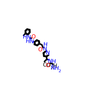 Cc1ccccc1NC(=O)Nc1ccc(CC(=O)Nc2ccc(C(CC(=O)O)NC(=O)CN)cn2)cc1